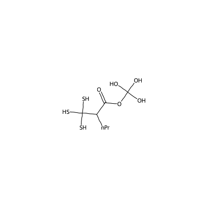 CCCC(C(=O)OC(O)(O)O)C(S)(S)S